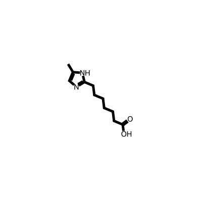 Cc1cnc(CCCCCCC(=O)O)[nH]1